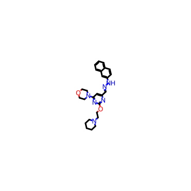 C(=N\Nc1ccc2ccccc2c1)/c1cc(N2CCOCC2)nc(OCCN2CCCCC2)n1